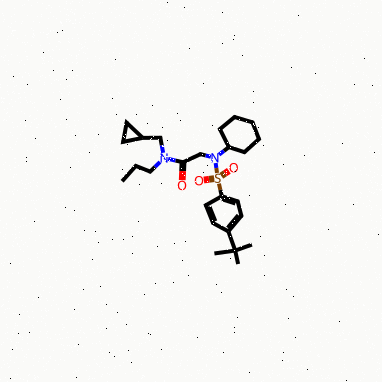 CCCN(CC1CC1)C(=O)CN(C1CCCCC1)S(=O)(=O)c1ccc(C(C)(C)C)cc1